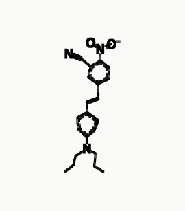 CCCN(CCC)c1ccc(C=Cc2ccc([N+](=O)[O-])c(C#N)c2)cc1